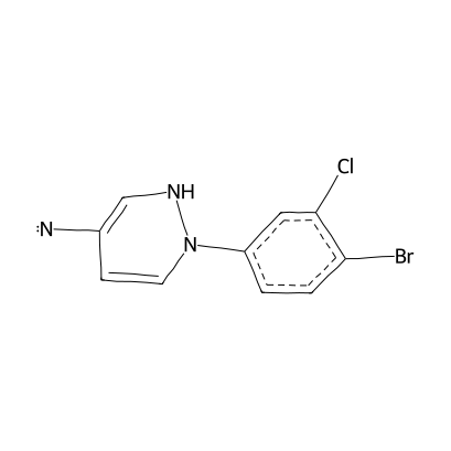 [N]C1=CNN(c2ccc(Br)c(Cl)c2)C=C1